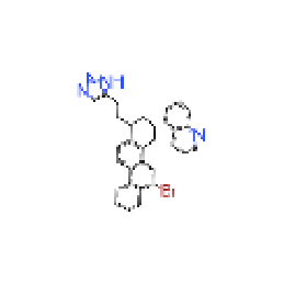 Brc1cc2c3c(ccc2c2ccccc12)C(CCc1cnn[nH]1)CCC3.c1ccc2ncccc2c1